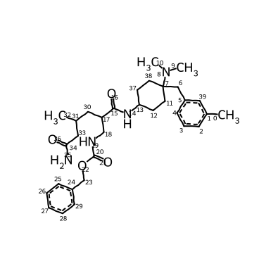 Cc1cccc(CC2(N(C)C)CCC(NC(=O)C(CNC(=O)OCc3ccccc3)CC(C)CC(N)=O)CC2)c1